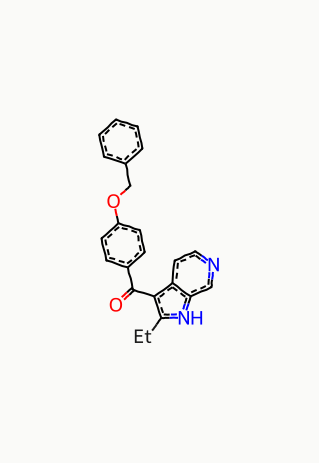 CCc1[nH]c2cnccc2c1C(=O)c1ccc(OCc2ccccc2)cc1